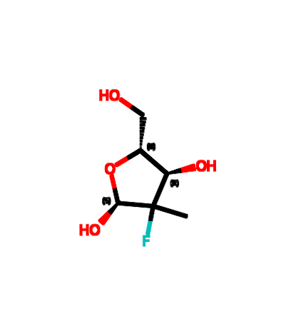 CC1(F)[C@H](O)[C@@H](CO)O[C@@H]1O